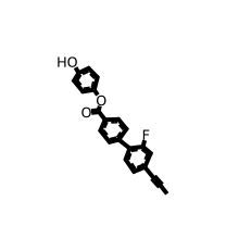 CC#Cc1ccc(-c2ccc(C(=O)Oc3ccc(O)cc3)cc2)c(F)c1